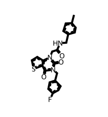 Cc1ccc(CNC(=O)Cn2c(=O)n(Cc3ccc(F)cc3)c(=O)c3sccc32)cc1